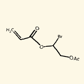 C=CC(=O)OC(Br)COC(C)=O